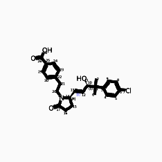 CC(C)(c1ccc(Cl)cc1)[C@@H](O)/C=C/[C@H]1CCC(=O)N1CCc1ccc(C(=O)O)cc1